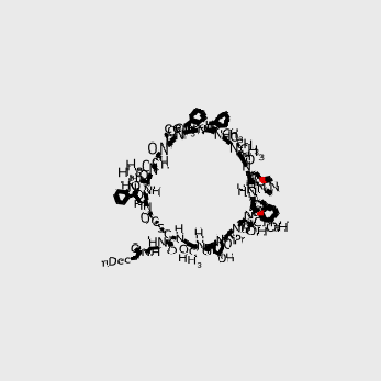 CCCCCCCCCCCC(=O)NCCNC(=O)[C@@H]1CSCC(=O)N[C@@H](Cc2c[nH]c3ccccc23)C(=O)N[C@@H]([C@@H](C)O)C(=O)N(C)CC(=O)N[C@@H](CC(=O)O)C(=O)N(C)[C@@H](Cc2ccccc2)C(=O)N(C)[C@@H](Cc2ccccc2)C(=O)NC(C)C(=O)N(C)[C@@H](C)C(=O)N[C@@H](Cc2cnc[nH]2)C(=O)N[C@@H](Cc2ccc(O)cc2)C(=O)N[C@@H](C(C)O)C(=O)N[C@@H](C(C)C)C(=O)N2C[C@H](O)C[C@H]2C(=O)N[C@@H](C)C(O)N1